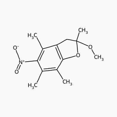 COC1(C)Cc2c(C)c([N+](=O)[O-])c(C)c(C)c2O1